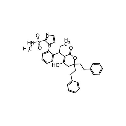 CCC(C1=C(O)CC(CCc2ccccc2)(CCc2ccccc2)OC1=O)c1ccccc1-n1ccnc1S(=O)(=O)NC